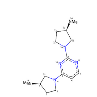 CN[C@@H]1CCN(c2ccnc(N3CC[C@@H](NC)C3)n2)C1